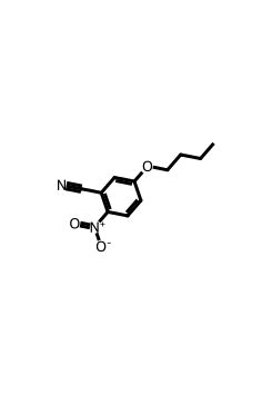 CCCCOc1ccc([N+](=O)[O-])c(C#N)c1